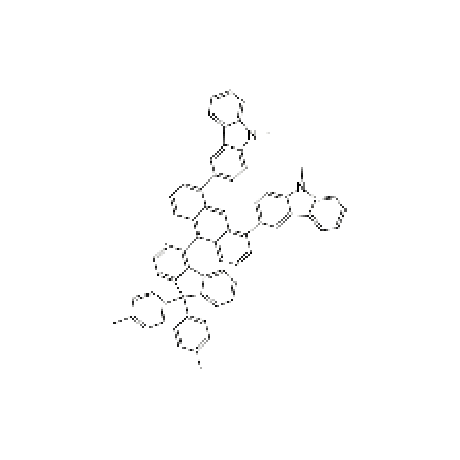 Cc1ccc(C2(c3ccc(C)cc3)c3ccccc3-c3c(-c4c5cccc(-c6ccc7c(c6)c6ccccc6n7C)c5cc5c(-c6ccc7c(c6)c6ccccc6n7C)cccc45)cccc32)cc1